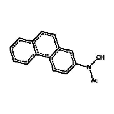 CC(=O)N(O)c1ccc2c(ccc3ccccc32)c1